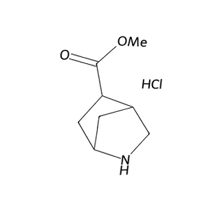 COC(=O)C1CC2CC1CN2.Cl